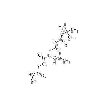 CNC(=O)COC(=O)C(CCNC(=O)OC(C)(C)C)NC(C)=O